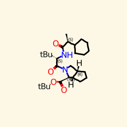 C[C@H](C(=O)N[C@H](C(=O)N1C[C@@H]2CCC[C@@H]2[C@H]1C(=O)OC(C)(C)C)C(C)(C)C)C1CCCCC1